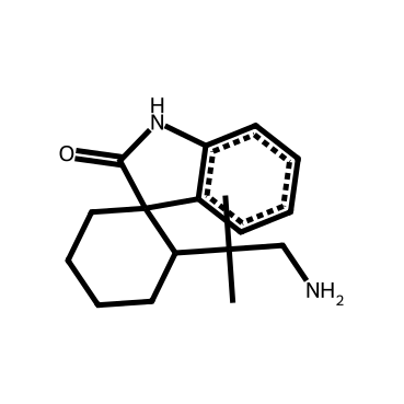 CC(C)(CN)C1CCCCC12C(=O)Nc1ccccc12